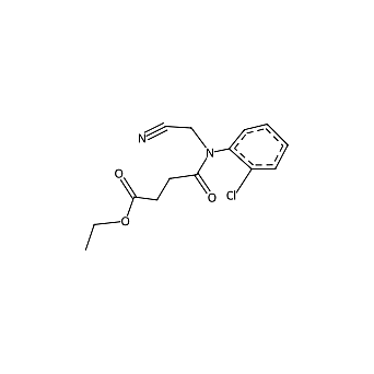 CCOC(=O)CCC(=O)N(CC#N)c1ccccc1Cl